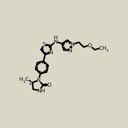 CCOCCn1cc(Nc2nc(-c3ccc(N4C(=O)NC[C@H]4C)cc3)cs2)cn1